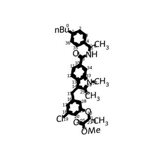 CCCCc1ccc([C@H](C)NC(=O)c2ccc3c(Cc4cc(Cl)cc(O[C@H](C)C(=O)OC)c4)c(C)n(C)c3c2)cc1